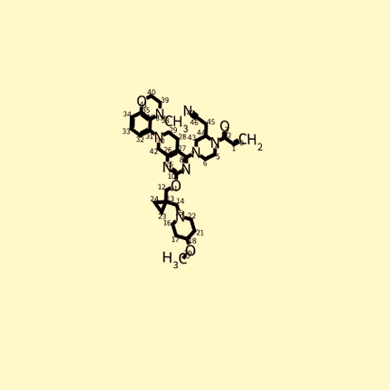 C=CC(=O)N1CCN(c2nc(OCC3(CN4CCC(OC)CC4)CC3)nc3c2CCN(c2cccc4c2N(C)CCO4)C3)CC1CC#N